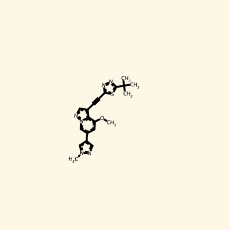 COc1cc(-c2cnn(C)c2)cn2ncc(C#Cc3nnc(C(C)(C)C)s3)c12